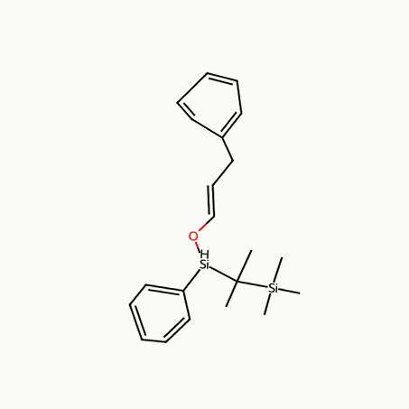 CC(C)([SiH](OC=CCc1ccccc1)c1ccccc1)[Si](C)(C)C